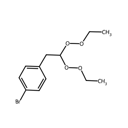 CCOOC(Cc1ccc(Br)cc1)OOCC